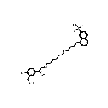 NS(=O)(=O)c1ccc2cccc(CCCCOCCCCCCNC[C@@H](O)c3ccc(O)c(CO)c3)c2c1